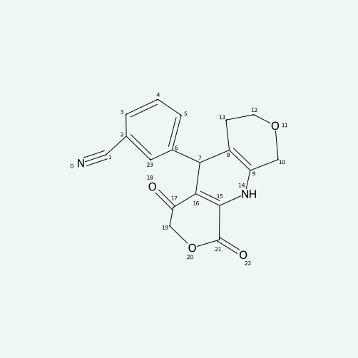 N#Cc1cccc(C2C3=C(COCC3)NC3=C2C(=O)COC3=O)c1